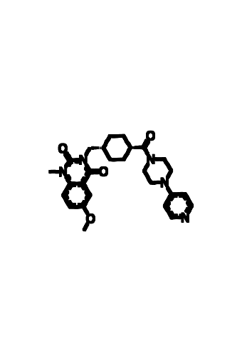 COc1ccc2c(c1)c(=O)n(C[C@H]1CC[C@H](C(=O)N3CCN(c4ccncc4)CC3)CC1)c(=O)n2C